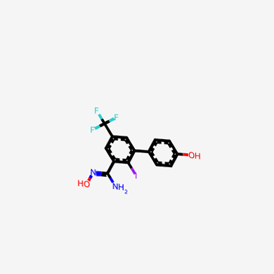 N/C(=N\O)c1cc(C(F)(F)F)cc(-c2ccc(O)cc2)c1I